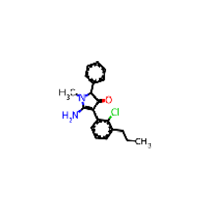 CCCc1cccc(C2=C(N)N(C)C(c3ccccc3)C2=O)c1Cl